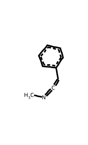 CN=C=Cc1ccccc1